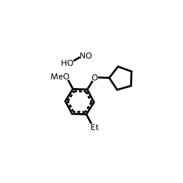 CCc1ccc(OC)c(OC2CCCC2)c1.O=NO